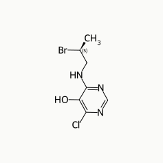 C[C@H](Br)CNc1ncnc(Cl)c1O